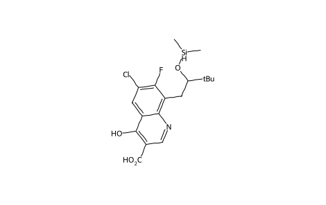 C[SiH](C)OC(Cc1c(F)c(Cl)cc2c(O)c(C(=O)O)cnc12)C(C)(C)C